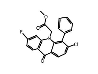 COC(=O)Cn1c2cc(F)ccc2c(=O)c2ccc(Cl)c(-c3ccccc3)c21